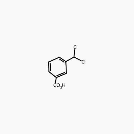 O=C(O)c1cccc(C(Cl)Cl)c1